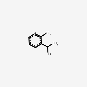 CC(C)C(C)c1cccnc1C(F)(F)F